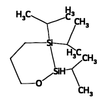 CC(C)[SiH]1OCCC[Si]1(C(C)C)C(C)C